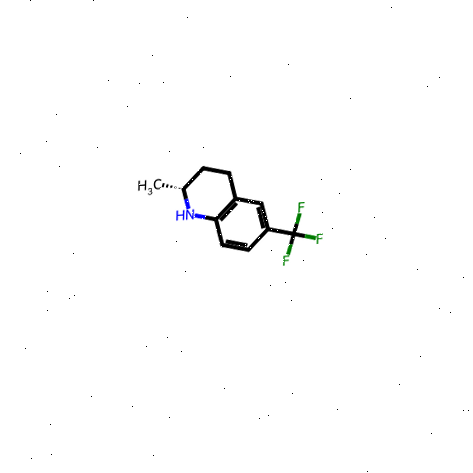 C[C@@H]1CCc2cc(C(F)(F)F)ccc2N1